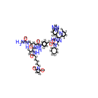 Cc1cccc(-c2nc(CN(C(=O)OCc3ccc(NC(=O)C(CCCNC(N)=O)NC(=O)C(NC(=O)CCCCCN4C(=O)C=CC4=O)C(C)C)cc3)C3CCCCCC3)[nH]c2-c2ccc3ncnn3c2)n1